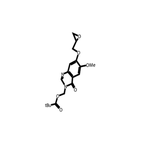 COc1cc2c(=O)n(COC(=O)C(C)(C)C)cnc2cc1OCC1CO1